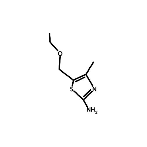 CCOCc1sc(N)nc1C